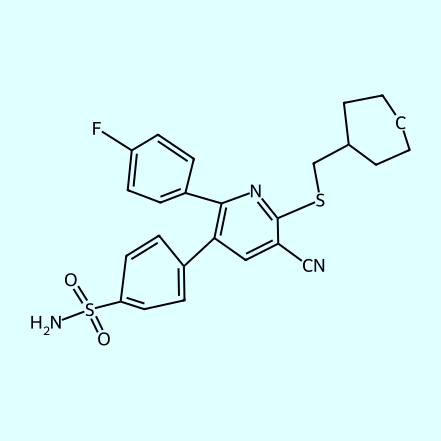 N#Cc1cc(-c2ccc(S(N)(=O)=O)cc2)c(-c2ccc(F)cc2)nc1SCC1CCCCC1